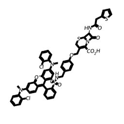 CN(c1ccc2c(-c3ccccc3S(=O)(=O)NCc3ccc(OCC4=C(C(=O)O)N5C(=O)[C@@H](NC(=O)Cc6cccs6)C5SC4)cc3)c3ccc(N(C)c4ccccc4Cl)cc3[o+]c2c1)c1ccccc1Cl